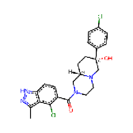 Cc1n[nH]c2ccc(C(=O)N3CCN4C[C@](O)(c5ccc(Cl)cc5)CC[C@H]4C3)c(Cl)c12